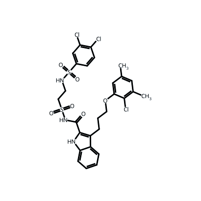 Cc1cc(C)c(Cl)c(OCCCc2c(C(=O)NS(=O)(=O)CCNS(=O)(=O)c3ccc(Cl)c(Cl)c3)[nH]c3ccccc23)c1